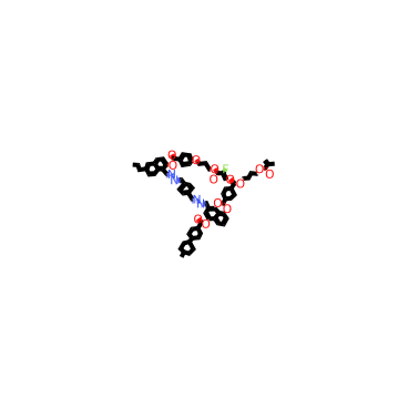 C=C(C)C(=O)OCCCCOC(=O)C1CCC(C(=O)Oc2c(/C=N/N=C/c3ccc(/C=N/N=C/c4c(OC(=O)c5ccc(OCCCOC(=O)C(=C)F)cc5)ccc5cc(CCC)ccc45)cc3)cc(OC(=O)C3CCC(C4CCC(C)CC4)CC3)c3ccccc23)CC1